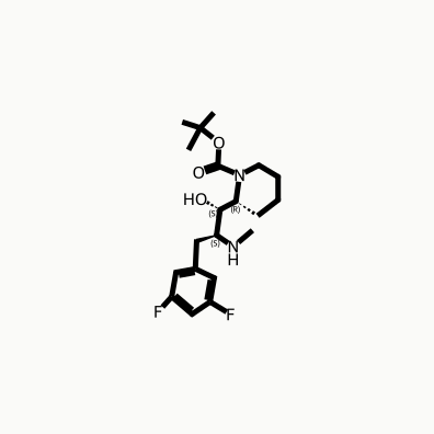 CN[C@@H](Cc1cc(F)cc(F)c1)[C@H](O)[C@H]1CCCCN1C(=O)OC(C)(C)C